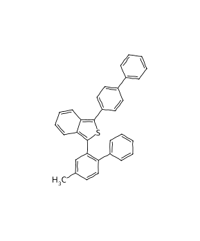 Cc1ccc(-c2ccccc2)c(-c2sc(-c3ccc(-c4ccccc4)cc3)c3ccccc23)c1